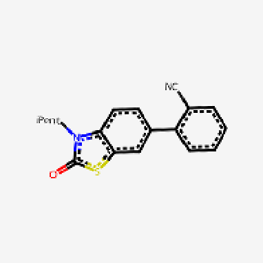 CCCC(C)n1c(=O)sc2cc(-c3ccccc3C#N)ccc21